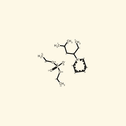 CCC(CC(C)C)[n+]1ccccc1.CCOP(=O)([O-])OCC